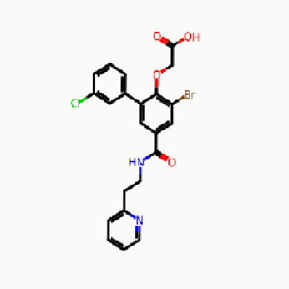 O=C(O)COc1c(Br)cc(C(=O)NCCc2ccccn2)cc1-c1cccc(Cl)c1